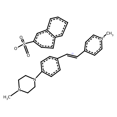 CN1CCN(c2ccc(/C=C/c3cc[n+](C)cc3)cc2)CC1.O=S(=O)([O-])c1ccc2ccccc2c1